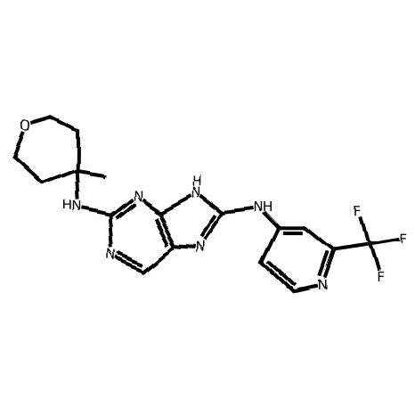 CC1(Nc2ncc3nc(Nc4ccnc(C(F)(F)F)c4)[nH]c3n2)CCOCC1